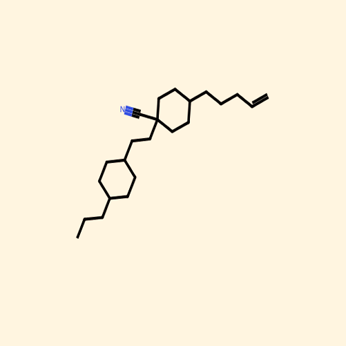 C=CCCCC1CCC(C#N)(CCC2CCC(CCC)CC2)CC1